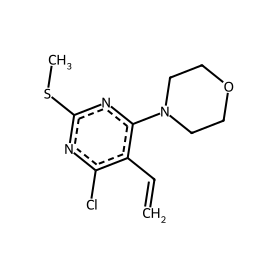 C=Cc1c(Cl)nc(SC)nc1N1CCOCC1